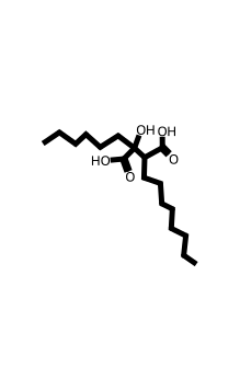 CCCCCCCCC(C(=O)O)C(O)(CCCCCC)C(=O)O